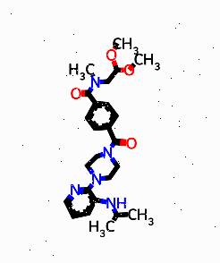 COC(CN(C)C(=O)c1ccc(C(=O)N2CCN(c3ncccc3NC(C)C)CC2)cc1)OC